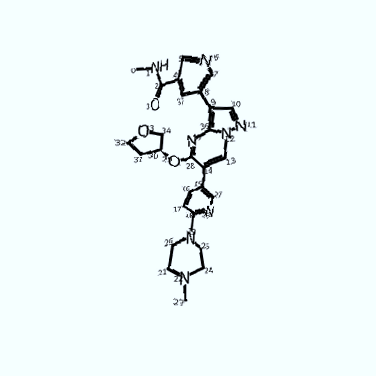 CNC(=O)c1cncc(-c2cnn3cc(-c4ccc(N5CCN(C)CC5)nc4)c(O[C@H]4CCOC4)nc23)c1